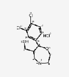 Cl.OCC1CNCCOC1c1ccc(Cl)c(Cl)c1